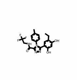 CCc1cc(-c2nnc(C(=O)NCC(F)(F)F)n2-c2ccc(C)cc2)c(O)cc1O